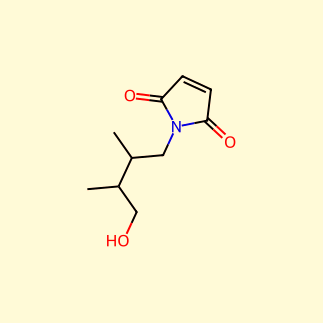 CC(CO)C(C)CN1C(=O)C=CC1=O